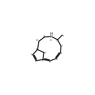 CC1C/C=C\C=C2\C=CC(CCN1)C2